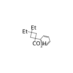 CCC1(CC)CC(C(=O)O)(c2ccccc2)C1